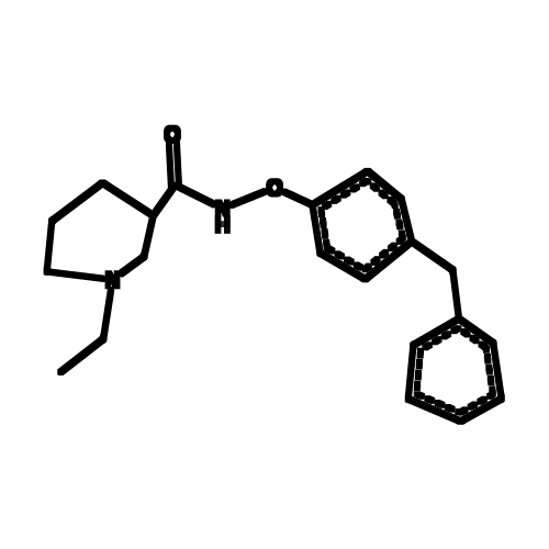 CCN1CCCC(C(=O)NOc2ccc(Cc3ccccc3)cc2)C1